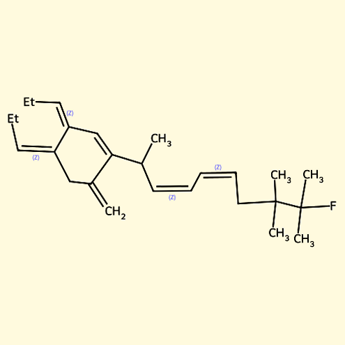 C=C1CC(=C/CC)/C(=C\CC)C=C1C(C)/C=C\C=C/CC(C)(C)C(C)(C)F